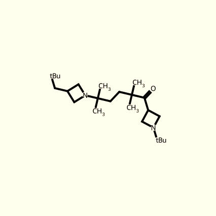 CC(C)(C)CC1CN(C(C)(C)CCC(C)(C)C(=O)C2CN(C(C)(C)C)C2)C1